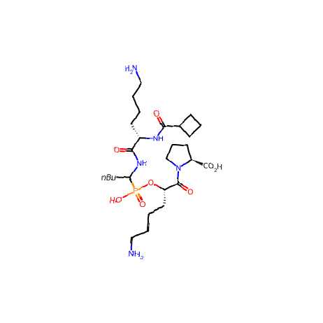 CCCCC(NC(=O)[C@H](CCCCN)NC(=O)C1CCC1)P(=O)(O)O[C@@H](CCCCN)C(=O)N1CCC[C@H]1C(=O)O